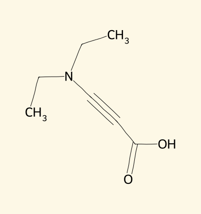 CCN(C#CC(=O)O)CC